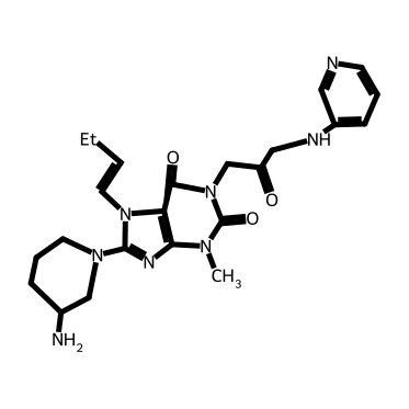 CCC=Cn1c(N2CCCC(N)C2)nc2c1c(=O)n(CC(=O)CNc1cccnc1)c(=O)n2C